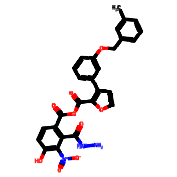 Cc1cccc(COc2cccc(-c3ccoc3C(=O)OC(=O)c3ccc(O)c([N+](=O)[O-])c3C(=O)NN)c2)c1